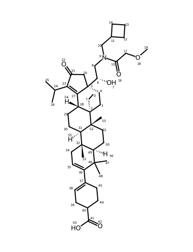 CC[C@@]12CC[C@@]3([C@@H](O)CN(CC4CCC4)C(=O)COC)CC(=O)C(C(C)C)=C3[C@H]1CC[C@@H]1[C@@]3(C)CC=C(C4=CCC(C(=O)O)CC4)C(C)(C)[C@@H]3CC[C@]12C